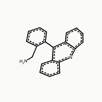 NCc1ccccc1-c1c2ccccc2nc2ccccc12